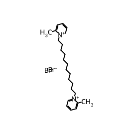 Cc1cccc[n+]1CCCCCCCCCCCC[n+]1ccccc1C.[Br-].[Br-]